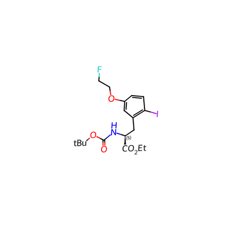 CCOC(=O)[C@H](Cc1cc(OCCF)ccc1I)NC(=O)OC(C)(C)C